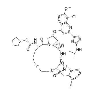 COc1ccc2c(O[C@@H]3C[C@H]4C(=O)NCC[C@H](P(=O)(Cc5c(F)cccc5F)N=O)CCCCCCC[C@H](NC(=O)OC5CCCC5)C(=O)N4C3)cc(-c3csc(NC(C)C)n3)nc2c1Cl